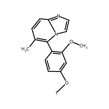 COc1cc(OI)ccc1-c1c(C)ccc2nccn12